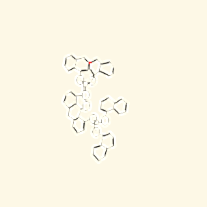 O=C1c2c(cccc2OP(Oc2cccc3ccccc23)Oc2cccc3ccccc23)Cc2cccc(OP(Oc3cccc4ccccc34)Oc3cccc4ccccc34)c21